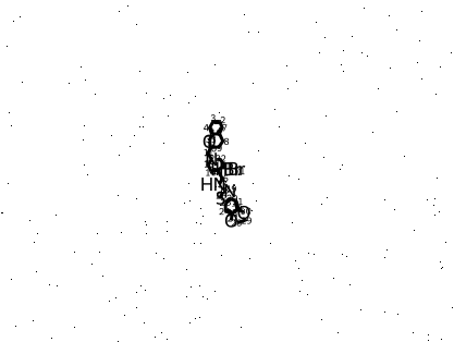 Br.Br.c1ccc2c(c1)CCC(CN1CCC(CNc3nc4cc5c(cc4s3)OCCO5)CC1)O2